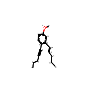 CCCC#Cc1ccc(OC)cc1C=CCCC